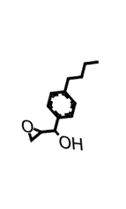 CCCCc1ccc(C(O)C2CO2)cc1